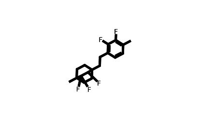 Cc1ccc(CCC23CCC(C)(CC2)C(F)(F)C3F)c(F)c1F